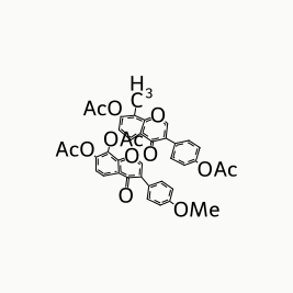 CC(=O)Oc1ccc(-c2coc3c(C)c(OC(C)=O)ccc3c2=O)cc1.COc1ccc(-c2coc3c(OC(C)=O)c(OC(C)=O)ccc3c2=O)cc1